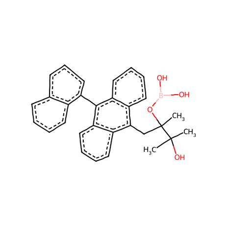 CC(C)(O)C(C)(Cc1c2ccccc2c(-c2cccc3ccccc23)c2ccccc12)OB(O)O